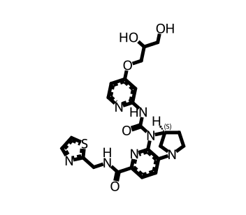 O=C(NCc1nccs1)c1ccc2c(n1)N(C(=O)Nc1cc(OCC(O)CO)ccn1)[C@H]1CCN2C1